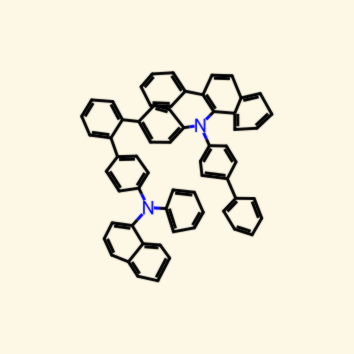 c1ccc(-c2ccc(N(c3ccc(-c4ccccc4-c4ccc(N(c5ccccc5)c5cccc6ccccc56)cc4)cc3)c3c(-c4ccccc4)ccc4ccccc34)cc2)cc1